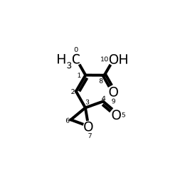 CC(=CC1(C=O)CO1)C(=O)O